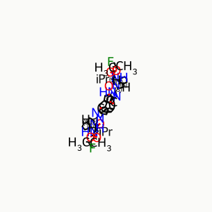 CC(C)[C@H](NC(=O)OC(C)(C)CF)C(=O)N1[C@H](c2nc3cc(-c4cc5ccc4CCc4ccc(c(-c6ccc7[nH]c([C@@H]8C[C@@H]9CCCC[C@@H]9N8C(=O)[C@@H](NC(=O)OC(C)(C)CF)C(C)C)nc7c6)c4)CC5)ccc3[nH]2)C[C@@H]2CCCC[C@@H]21